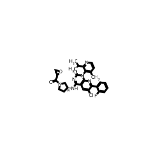 Cc1ccnc(C(C)C)c1-n1c(=O)nc(N[C@@H]2CCN(C(=O)C3CO3)C2)c2cc(Cl)c(-c3ccccc3F)nc21